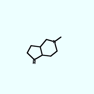 CN1CCC2NCCC2C1